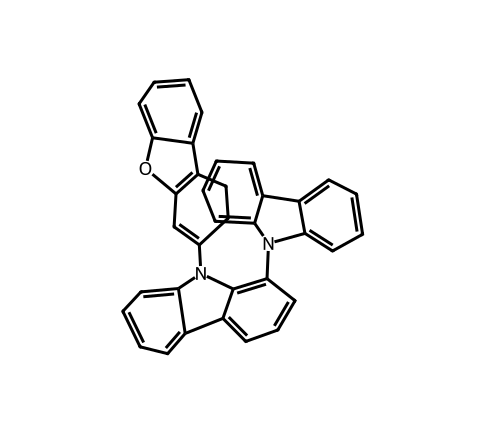 C1=C(n2c3ccccc3c3cccc(-n4c5ccccc5c5ccccc54)c32)CCc2c1oc1ccccc21